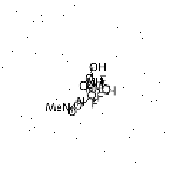 CNC(=O)CON=Cc1cc(C(=O)NOCCO)c(Nc2ccc(I)cc2F)c(F)c1F